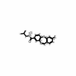 CC(C)CN(Cl)C(=O)c1ccc2c(c1)N=Cc1ccc(F)cc1S2